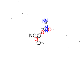 Cc1cccc(Oc2ccc(COc3nc(=O)n(Cc4cnn(C)c4)cc3C)cc2C#N)c1